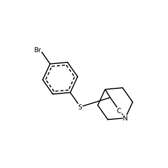 Brc1ccc(SC2CN3CCC2CC3)cc1